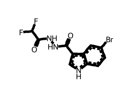 O=C(NNC(=O)C(F)F)c1c[nH]c2ccc(Br)cc12